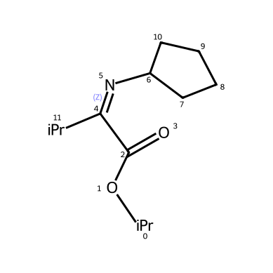 CC(C)OC(=O)/C(=N\C1CCCC1)C(C)C